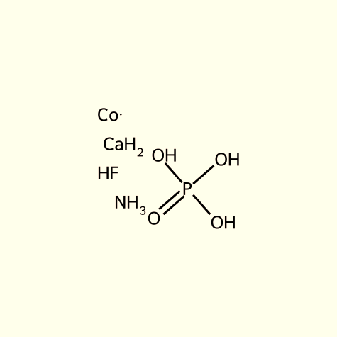 F.N.O=P(O)(O)O.[CaH2].[Co]